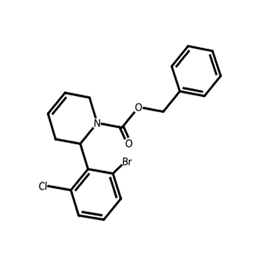 O=C(OCc1ccccc1)N1CC=CCC1c1c(Cl)cccc1Br